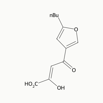 CCCCc1cc(C(=O)C=C(O)C(=O)O)co1